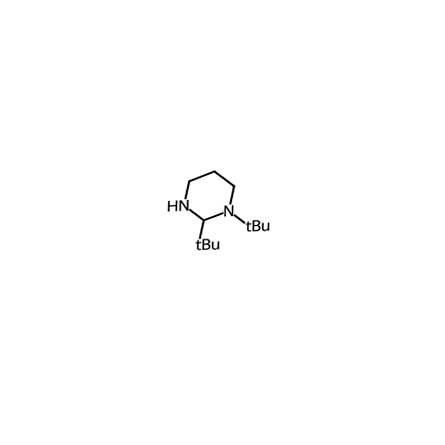 CC(C)(C)C1NCCCN1C(C)(C)C